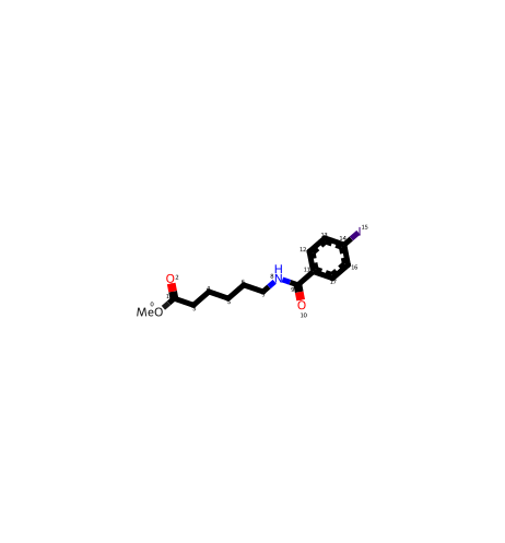 COC(=O)CCCCCNC(=O)c1ccc(I)cc1